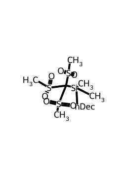 CCCCCCCCCC[Si](C)(C)C(S(C)(=O)=O)(S(C)(=O)=O)S(C)(=O)=O